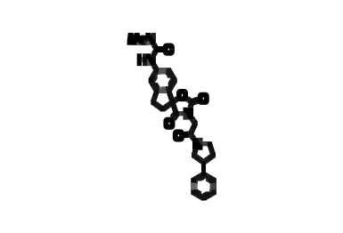 CNC(=O)Nc1ccc2c(c1)CCC21OC(=O)N(CC(=O)N2CCC(c3ccccc3)C2)C1=O